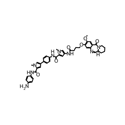 COc1cc2c(cc1OCCCC(=O)Nc1cc(C(=O)Nc3ccc(-c4cc(C(=O)Nc5ccc(N)cc5)n(C)c4)cc3)n(C)c1)N=C[C@H]1CCCCN1C2=O